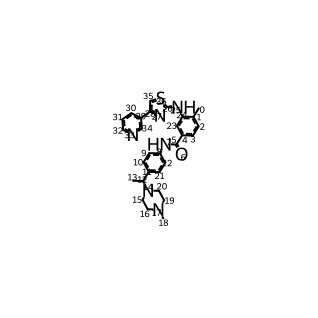 Cc1ccc(C(=O)Nc2ccc(C(C)N3CCN(C)CC3)cc2)cc1Nc1nc(-c2cccnc2)cs1